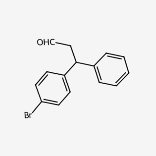 O=CCC(c1ccccc1)c1ccc(Br)cc1